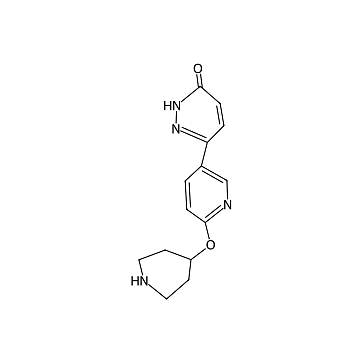 O=c1ccc(-c2ccc(OC3CCNCC3)nc2)n[nH]1